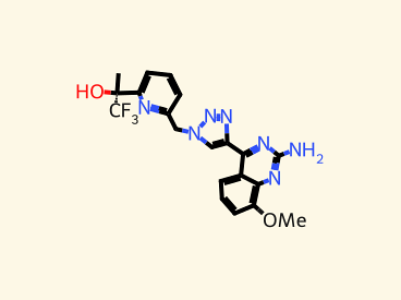 COc1cccc2c(-c3cn(Cc4cccc([C@](C)(O)C(F)(F)F)n4)nn3)nc(N)nc12